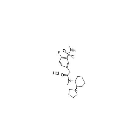 CNS(=O)(=O)c1cc(CC(=O)N(C)[C@@H]2CCCC[C@H]2N2CCCC2)ccc1F.Cl